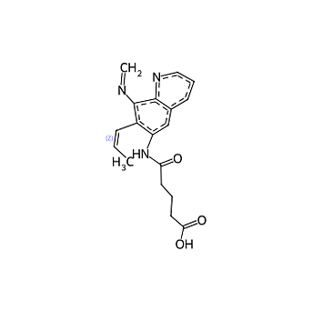 C=Nc1c(/C=C\C)c(NC(=O)CCCC(=O)O)cc2cccnc12